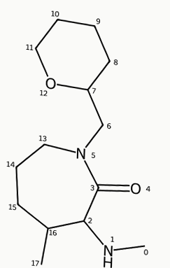 CNC1C(=O)N(CC2CCCCO2)CCCC1C